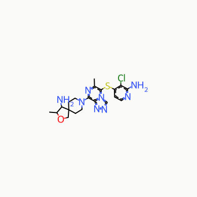 Cc1nc(N2CCC3(CC2)COC(C)C3N)c2nncn2c1Sc1ccnc(N)c1Cl